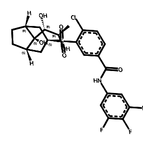 C[C@@H](O)[C@@H](O)[C@@]1(O)[C@@H]2CC[C@H]1C[C@H](S(=O)(=O)c1cc(C(=O)Nc3cc(F)c(F)c(F)c3)ccc1Cl)C2